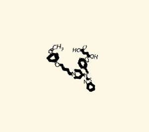 COc1ccc(OCCCCN2CCC(N(Cc3ccccc3)c3nc4ccccc4s3)CC2)cc1.O=C(O)C=CC(=O)O